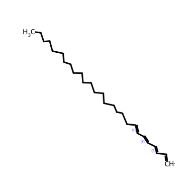 [CH]=C/C=C/C=C/C=C/CCCCCCCCCCCCCCCCCCC